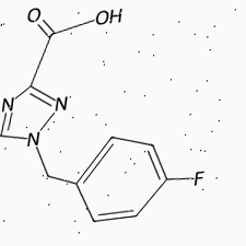 O=C(O)c1ncn(Cc2ccc(F)cc2)n1